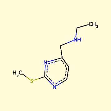 CCNCc1ccnc(SC)n1